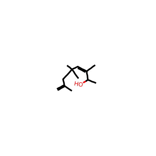 C=C(C)CC(C)(C)C=C(C)C(C)O